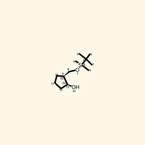 CC(C)(C)[Si](C)(C)OC[C@@H]1CCC[C@@H]1O